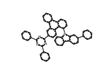 c1ccc(-c2ccc3c4ccccc4n(-c4cccc5c6ccccc6c6cc(-c7nc(-c8ccccc8)nc(-c8ccccc8)n7)ccc6c45)c3c2)cc1